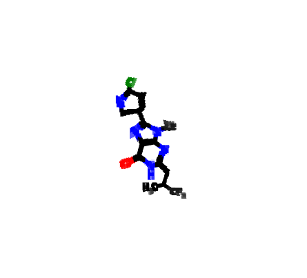 CCn1c(-c2ccc(Cl)nc2)nc2c(=O)[nH]c(CC(C)C(F)(F)F)nc21